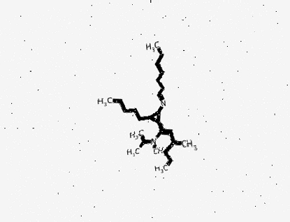 CC/C=C/CC/C=N/C1C(CCCCC)C1/C(=C/C(C)CCC)N(C)C(C)C